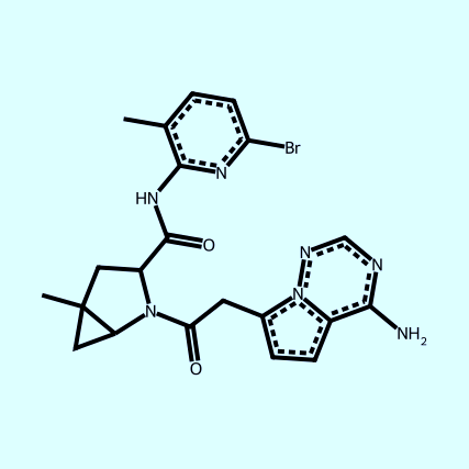 Cc1ccc(Br)nc1NC(=O)C1CC2(C)CC2N1C(=O)Cc1ccc2c(N)ncnn12